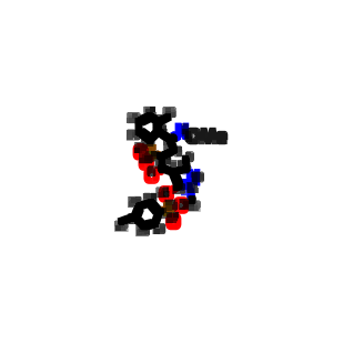 CON=C1CC(C(=O)c2c(C)nn(C)c2OS(=O)(=O)c2ccc(C)cc2)S(=O)(=O)c2cccc(C)c21